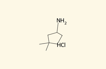 CC1(C)CCC(N)C1.Cl